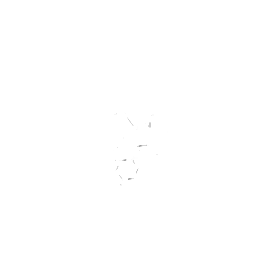 CC/C(C)=C(\S/C(NC)=C(\C)CC)c1ccccc1C